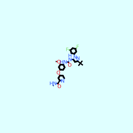 CNC(=O)c1cc(Oc2ccc(NC(=O)Nc3cc(C(C)(C)C)nn3-c3cc(F)cc(F)c3)c(OC)c2)ccn1